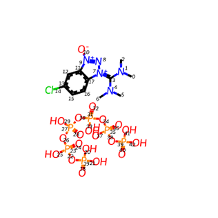 CN(C)C(N(C)C)=[N+]1N=[N+]([O-])c2cc(Cl)ccc21.O=P(O)(O)OP(=O)(O)OP(=O)(O)OP(=O)(O)OP(=O)(O)OP(=O)(O)O